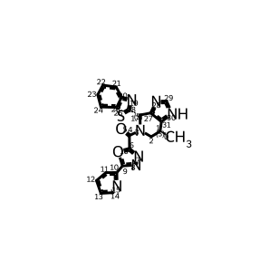 C[C@H]1CN(C(=O)c2nnc(-c3ccccn3)o2)[C@H](c2nc3ccccc3s2)c2nc[nH]c21